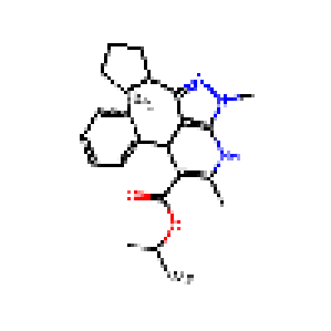 CSC(C)OC(=O)C1=C(C)Nc2c(c(C3CCCC3)nn2C)C1c1ccccc1[N+](=O)[O-]